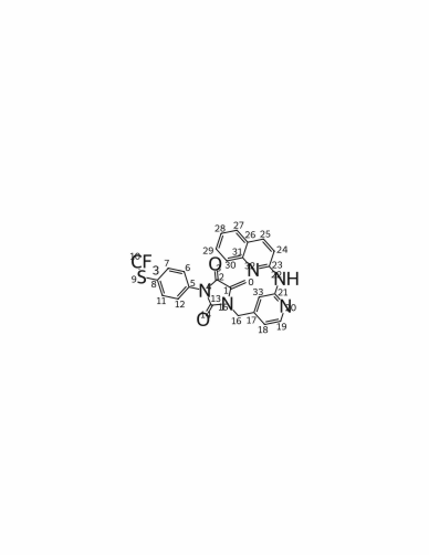 C=C1C(=O)N(c2ccc(SC(F)(F)F)cc2)C(=O)N1Cc1ccnc(Nc2ccc3ccccc3n2)c1